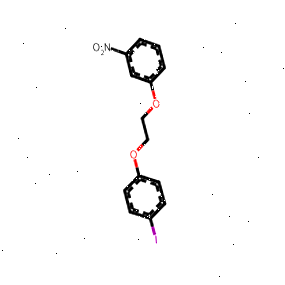 O=[N+]([O-])c1cccc(OCCOc2ccc(I)cc2)c1